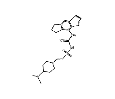 CN(C)C1CCN(CCS(=O)(=O)NC(=O)Nc2c3c(cc4c2CCC4)CCC3)CC1